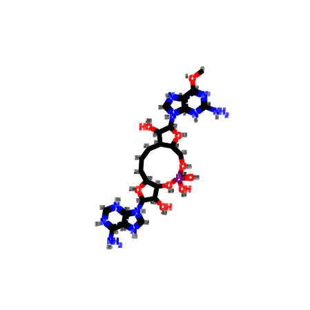 COc1nc(N)nc2c1ncn2C1OC2COP(=O)(O)OC3C(CCCC2C1O)OC(n1cnc2c(N)ncnc21)C3O